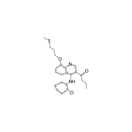 CCCC(=O)c1cnc2c(OCCCSC)cccc2c1Nc1ccccc1Cl